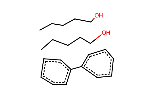 CCCCCO.CCCCCO.c1ccc(-c2ccccc2)cc1